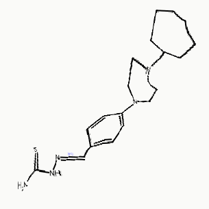 NC(=S)N/N=C/c1ccc(N2CCN(C3CCCCCC3)CC2)cc1